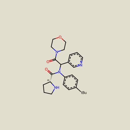 CC(C)(C)c1ccc(N(C(=O)[C@H]2CCCN2)C(C(=O)N2CCOCC2)c2cccnc2)cc1